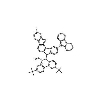 C=CC1C(C2c3ccc4c(oc5cc(F)ccc54)c3-c3cc(-n4c5ccccc5c5ccccc54)cc[n+]32)c2ccc(C(C)(C)C)cc2-c2ccc(C(C)(C)C)c[n+]21